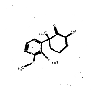 Cl.NC1(c2cccc(OC(F)(F)F)c2F)CCCC(O)C1=O